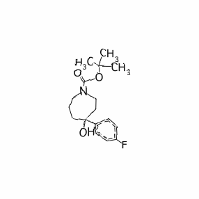 CC(C)(C)OC(=O)N1CCCC(O)(c2ccc(F)cc2)CC1